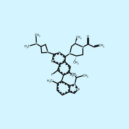 C=CC(=O)N1C[C@H](C)N(c2nc(N3CC(N(C)C)C3)nc3c(F)c(-c4c(C)ccc5cnn(C(C)C)c45)c(C)cc23)C[C@H]1C